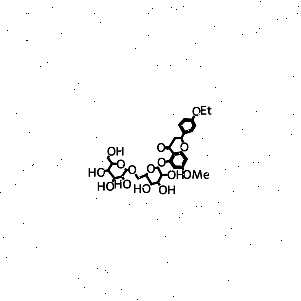 CCOc1ccc(C2CC(=O)c3c(cc(OC)cc3OC3OC(COC4OC(CO)C(O)C(O)C4O)C(O)C(O)C3O)O2)cc1